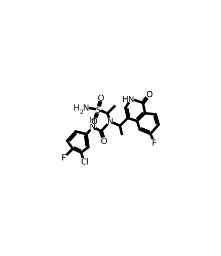 CC(c1c[nH]c(=O)c2ccc(F)cc12)N(C(=O)Nc1ccc(F)c(Cl)c1)C(C)S(N)(=O)=O